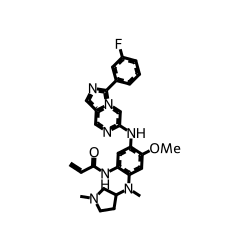 C=CC(=O)Nc1cc(Nc2cn3c(-c4cccc(F)c4)ncc3cn2)c(OC)cc1N(C)C1CCN(C)C1